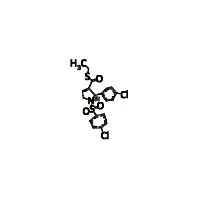 CCSC(=O)C1=CCN(S(=O)(=O)c2ccc(Cl)cc2)[C@@H]1c1ccc(Cl)cc1